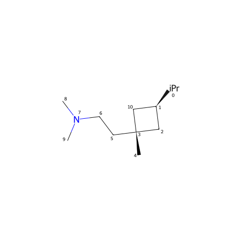 CC(C)[C@H]1C[C@](C)(CCN(C)C)C1